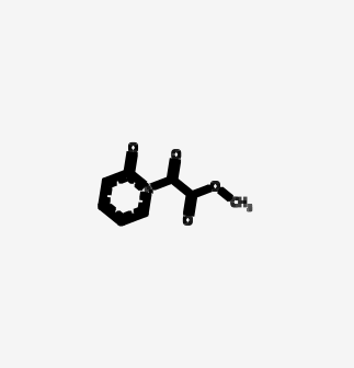 COC(=O)C(=O)n1ccccc1=O